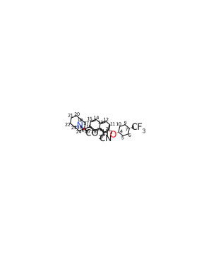 N#Cc1c(O[C@H]2CC[C@@H](C(F)(F)F)CC2)ccc2ccc(CN3C4CCCC3CC(C(=O)O)C4)cc12